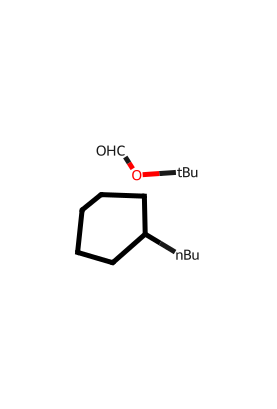 CC(C)(C)OC=O.CCCCC1CCCCC1